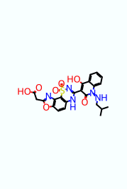 CC(C)CNn1c(=O)c(C2=NS(=O)(=O)c3c(ccc4oc(CC(=O)O)nc34)N2)c(O)c2ccccc21